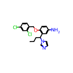 CCCC(c1cc(N)ccc1OCc1ccc(Cl)cc1Cl)n1ccnc1